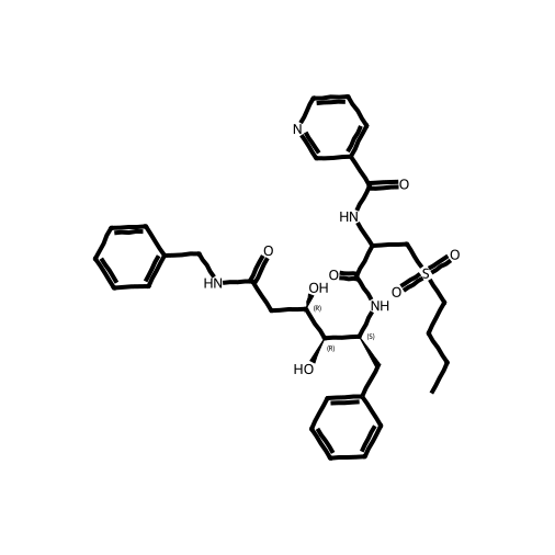 CCCCS(=O)(=O)CC(NC(=O)c1cccnc1)C(=O)N[C@@H](Cc1ccccc1)[C@@H](O)[C@H](O)CC(=O)NCc1ccccc1